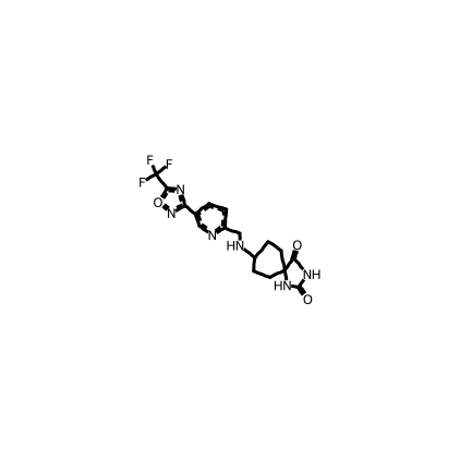 O=C1NC(=O)C2(CCC(NCc3ccc(-c4noc(C(F)(F)F)n4)cn3)CC2)N1